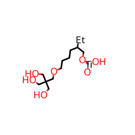 CCC(CCCCOCC(CO)(CO)CO)C[O][Ti](=[O])[OH]